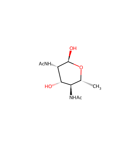 CC(=O)N[C@H]1[C@H](O)[C@H](NC(C)=O)[C@@H](O)O[C@@H]1C